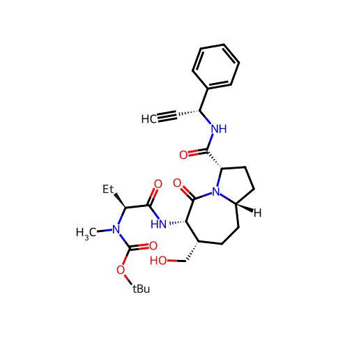 C#C[C@@H](NC(=O)[C@@H]1CC[C@@H]2CC[C@H](CO)[C@H](NC(=O)[C@H](CC)N(C)C(=O)OC(C)(C)C)C(=O)N21)c1ccccc1